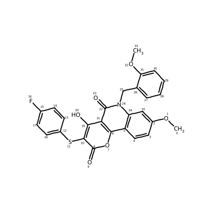 COc1ccc2c3oc(=O)c(Sc4ccc(F)cc4)c(O)c3c(=O)n(Cc3ccccc3OC)c2c1